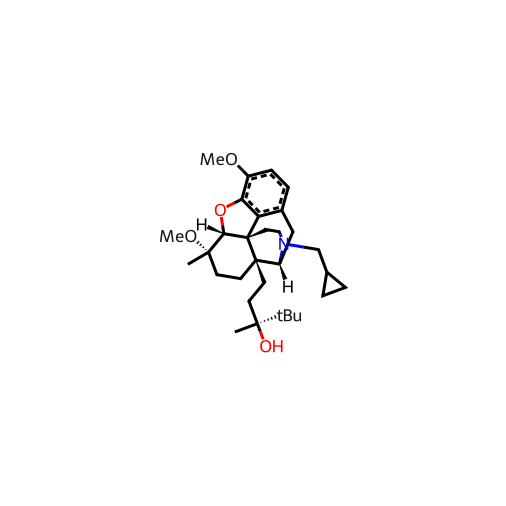 COc1ccc2c3c1O[C@@H]1[C@]34CCN(CC3CC3)[C@H](C2)[C@]4(CC[C@](C)(O)C(C)(C)C)CC[C@]1(C)OC